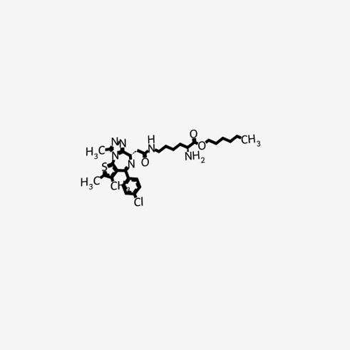 CCCCCCOC(=O)[C@@H](N)CCCCNC(=O)C[C@@H]1N=C(c2ccc(Cl)cc2)c2c(sc(C)c2C)-n2c(C)nnc21